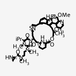 CCn1c(C2=C([C@H](C)OC)N=CCC2)c2c3cc(ccc31)-c1csc(n1)C[C@H](NC(=O)[C@H](C(C)C)N(C)C(=O)N(C)CCN(C)C(=O)[C@@H]1CN1)C(=O)N1CCC[C@H](N1)C(=O)OCC(C)(C)C2